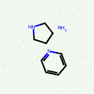 C1CCNC1.N.c1ccncc1